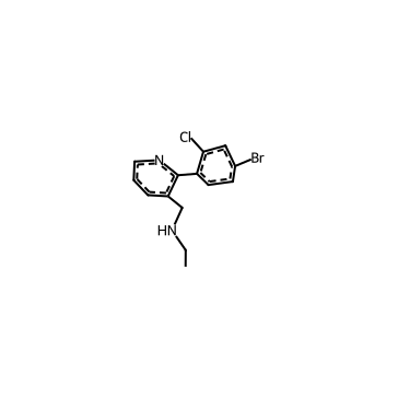 CCNCc1cccnc1-c1ccc(Br)cc1Cl